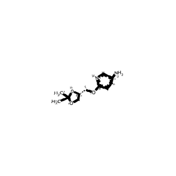 CC1(C)OC[C@@H](COc2ccc(N)cn2)O1